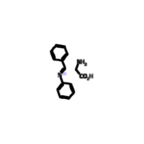 C(=N\c1ccccc1)/c1ccccc1.NCC(=O)O